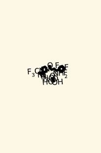 N[C@H](CCC(=O)N1CCn2c(nnc2C(F)(F)F)C1)c1cc(F)c(F)cc1F.O.O=P(O)(O)O